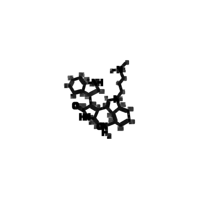 CN(C)CCCn1cc(C2=C(c3c[nH]c4ccccc34)C(=O)NC2=O)c2c(N)cccc21